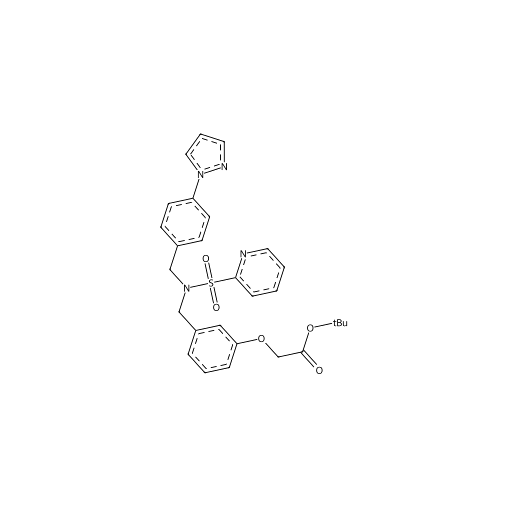 CC(C)(C)OC(=O)COc1cccc(CN(Cc2ccc(-n3cccn3)cc2)S(=O)(=O)c2ccccn2)c1